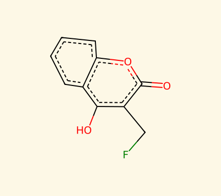 O=c1oc2ccccc2c(O)c1CF